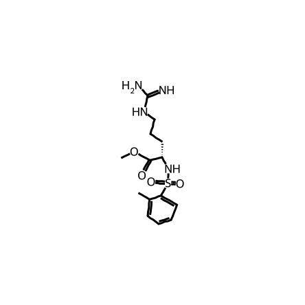 COC(=O)[C@H](CCCNC(=N)N)NS(=O)(=O)c1ccccc1C